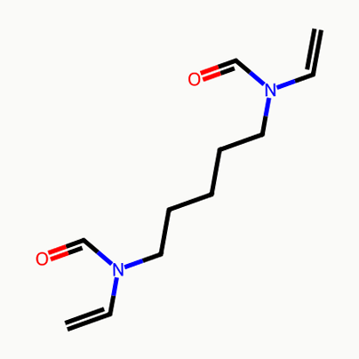 C=CN(C=O)CCCCCN(C=C)C=O